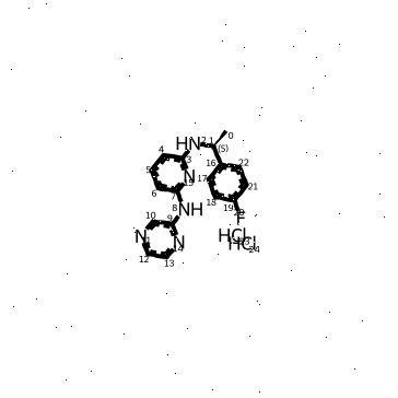 C[C@H](Nc1cccc(Nc2cnccn2)n1)c1ccc(F)cc1.Cl.Cl